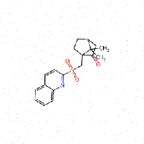 CC1(C)C2CCC1(CS(=O)(=O)c1ccc3ccccc3n1)C(=O)C2